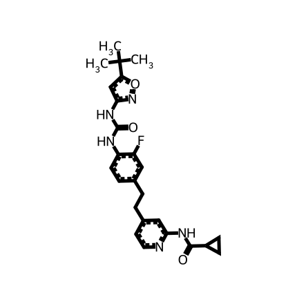 CC(C)(C)c1cc(NC(=O)Nc2ccc(CCc3ccnc(NC(=O)C4CC4)c3)cc2F)no1